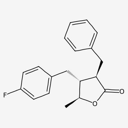 C[C@@H]1OC(=O)[C@H](Cc2ccccc2)[C@H]1Cc1ccc(F)cc1